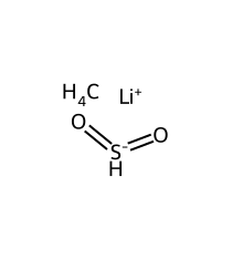 C.O=[SH-]=O.[Li+]